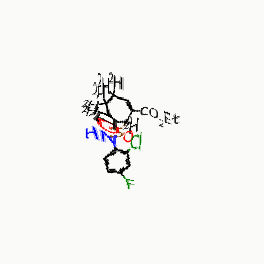 [2H]C1([2H])C=C(C(=O)OCC)[C@]([2H])(S(=O)(=O)Nc2ccc(F)cc2Cl)C([2H])([2H])C1([2H])[2H]